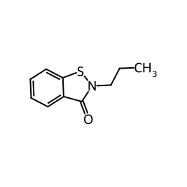 CCCn1sc2ccccc2c1=O